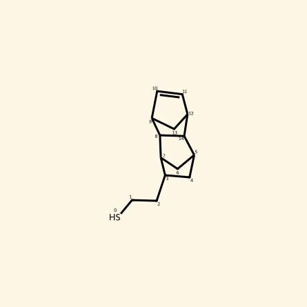 SCCC1CC2CC1C1C3C=CC(C3)C21